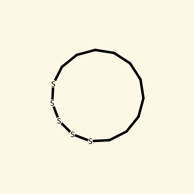 C1CCCCCSSSSSCCCC1